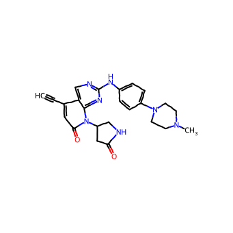 C#Cc1cc(=O)n(C2CNC(=O)C2)c2nc(Nc3ccc(N4CCN(C)CC4)cc3)ncc12